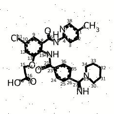 Cc1ccc(NC(=O)c2cc(Cl)cc(OCC(=O)O)c2NC(=O)c2ccc(C(=N)N3CCCCC3)cc2)nc1